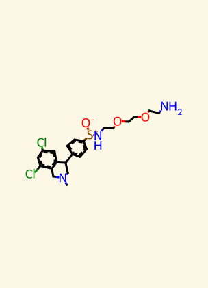 CN1Cc2c(Cl)cc(Cl)cc2C(c2ccc([S+]([O-])NCCOCCOCCN)cc2)C1